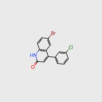 O=c1cc(-c2cccc(Cl)c2)c2cc(Br)ccc2[nH]1